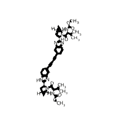 COC(=O)N[C@H](C(=O)N1[C@@H]2C[C@@H]2C[C@H]1c1nc2cc(C#CC#Cc3ccc4[nH]c([C@@H]5C[C@H]6C[C@H]6N5C(=O)[C@@H](NC(=O)OC)C(C)C)nc4c3)ccc2[nH]1)C(C)C